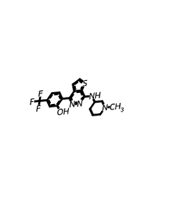 CN1CCCC(Nc2nnc(-c3ccc(C(F)(F)F)cc3O)c3ccsc23)C1